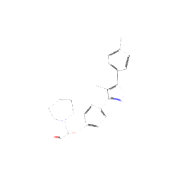 Cc1ccc(-c2onc(-c3ccc(OC(C=O)N4CCCCC4)cc3)c2C)cc1